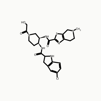 CN1CCc2nc(C(=O)N[C@@H]3CN(C(=O)CO)CC[C@@H]3NC(=O)C3Cc4cc(Cl)ccc4N3)sc2C1